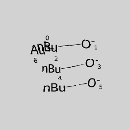 CCCC[O-].CCCC[O-].CCCC[O-].[Au+3]